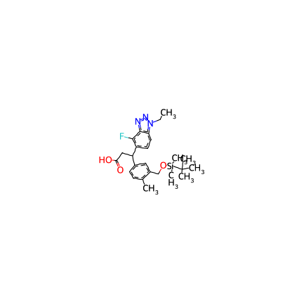 CCn1nnc2c(F)c(C(CC(=O)O)c3ccc(C)c(CO[Si](C)(C)C(C)(C)C)c3)ccc21